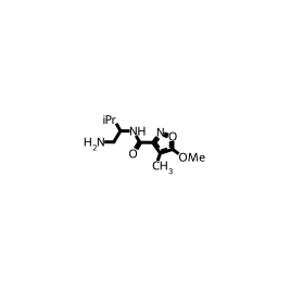 COc1onc(C(=O)NC(CN)C(C)C)c1C